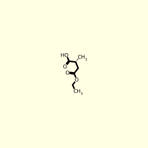 CCOC(=O)C[C@@H](C)C(=O)O